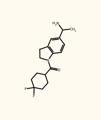 CC(N)c1ccc2c(c1)CCN2C(=O)C1CCC(F)(F)CC1